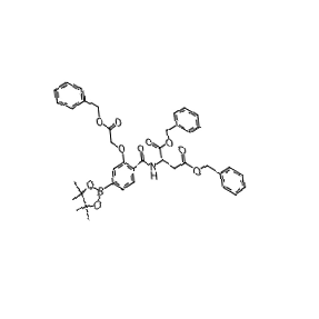 CC1(C)OB(c2ccc(C(=O)NC(CC(=O)OCc3ccccc3)C(=O)OCc3ccccc3)c(OCC(=O)OCc3ccccc3)c2)OC1(C)C